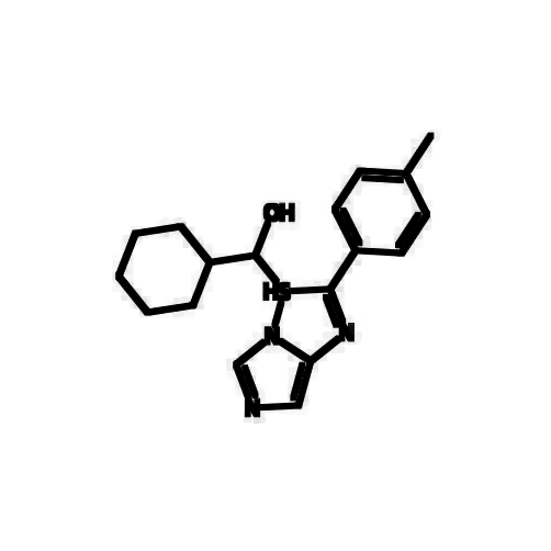 Cc1ccc(C2=Nc3cncn3[SH]2C(O)C2CCCCC2)cc1